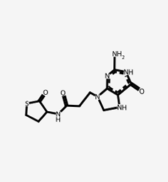 Nc1nc2c(c(=O)[nH]1)NCN2CCC(=O)NC1CCSC1=O